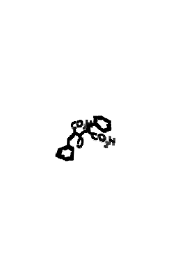 O=C(O)C(=Cc1ccccc1)C(=O)C(=Cc1ccccc1)C(=O)O